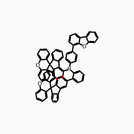 c1ccc2c(c1)Oc1ccccc1C21c2ccccc2-c2cc(-c3ccccc3N(c3ccc(-c4cccc5c4oc4ccccc45)cc3)c3cccc4c3-c3ccccc3C43c4ccccc4Oc4ccccc43)ccc21